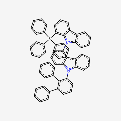 c1ccc(-c2cccc(-n3c4ccccc4c4c(-n5c6ccccc6c6cccc([Si](c7ccccc7)(c7ccccc7)c7ccccc7)c65)cccc43)c2-c2ccccc2)cc1